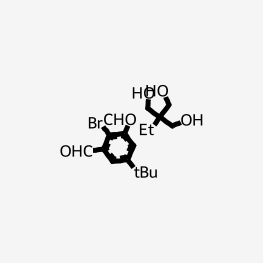 CC(C)(C)c1cc(C=O)c(Br)c(C=O)c1.CCC(CO)(CO)CO